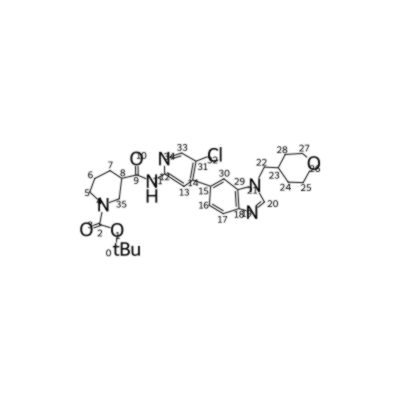 CC(C)(C)OC(=O)N1CCCC(C(=O)Nc2cc(-c3ccc4ncn(CC5CCOCC5)c4c3)c(Cl)cn2)C1